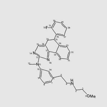 COCCNCCc1cccc(N(C)c2ncc3c(n2)-c2ccccc2C(c2ccccc2F)C3)c1